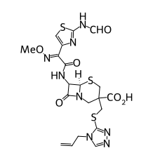 C=CCn1cnnc1SCC1(C(=O)O)CS[C@@H]2C(NC(=O)C(=NOC)c3csc(NC=O)n3)C(=O)N2C1